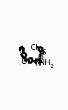 Nc1ncc(-c2ccc(C(=O)N3CCC(N4CCCC4)CC3)cc2)cc1OCC1CSc2ccc(Cl)cc21